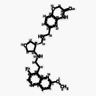 COc1ccc2ncc(F)c(CCN[C@H]3COC[C@@H]3CNCc3ccc4c(n3)NC(=O)CO4)c2n1